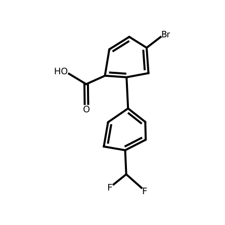 O=C(O)c1ccc(Br)cc1-c1ccc(C(F)F)cc1